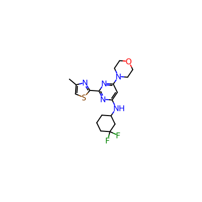 Cc1csc(-c2nc(NC3CCCC(F)(F)C3)cc(N3CCOCC3)n2)n1